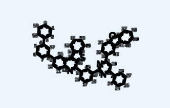 c1ccc(-c2cccc(-c3ccc4nc(-c5cccc(-c6nc(-c7ccccc7)cc(-c7ccc8oc9ccccc9c8c7)n6)c5)c5sc6ccccc6c5c4c3)c2)cc1